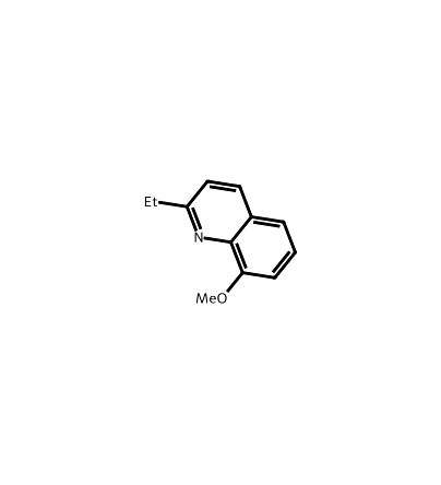 CCc1ccc2cccc(OC)c2n1